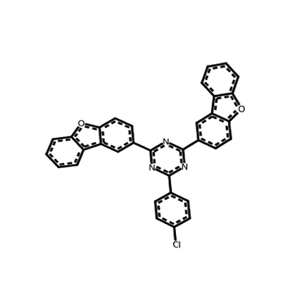 Clc1ccc(-c2nc(-c3ccc4oc5ccccc5c4c3)nc(-c3ccc4oc5ccccc5c4c3)n2)cc1